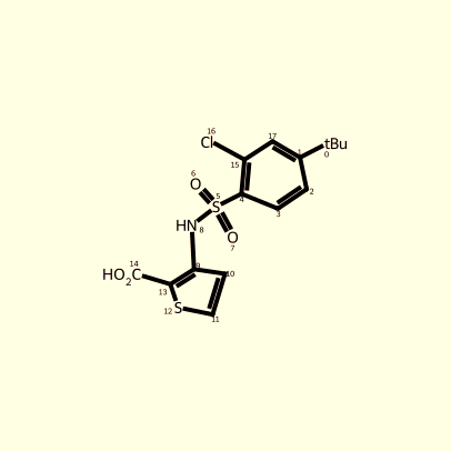 CC(C)(C)c1ccc(S(=O)(=O)Nc2ccsc2C(=O)O)c(Cl)c1